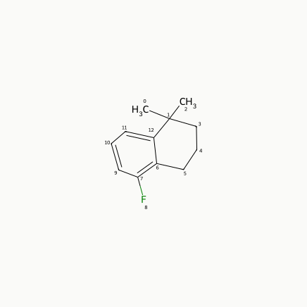 CC1(C)CCCc2c(F)cccc21